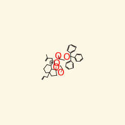 C=CCC12CCCC([C@@H](CC(=C)C)OC(=O)COC(c3ccccc3)(c3ccccc3)c3ccccc3)C1C1(CC2)OCCO1